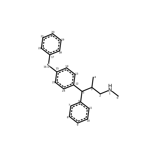 CNCC(C)C(c1ccccc1)c1ccc(Sc2ccccc2)cc1